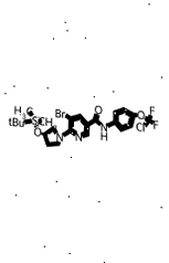 CC(C)(C)[Si](C)(C)O[C@@H]1CCN(c2ncc(C(=O)Nc3ccc(OC(F)(F)Cl)cc3)cc2Br)C1